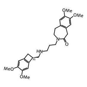 COc1cc2c(cc1OC)CC(=O)N(CCCNC[C@@H]1Cc3cc(OC)c(OC)cc31)CC2